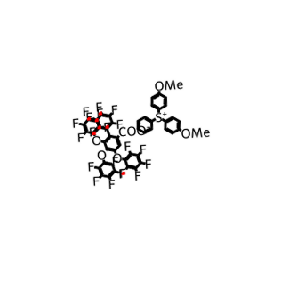 COc1ccc([S+](c2ccccc2)c2ccc(OC)cc2)cc1.O=C([O-])c1cc(Oc2c(F)c(F)c(F)c(F)c2F)c(Oc2c(F)c(F)c(F)c(F)c2F)c(Oc2c(F)c(F)c(F)c(F)c2F)c1-c1c(F)c(F)c(F)c(F)c1F